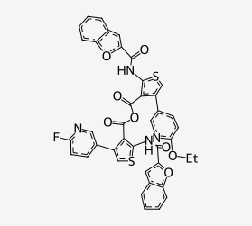 CCOc1ccc(-c2csc(NC(=O)c3cc4ccccc4o3)c2C(=O)OC(=O)c2c(-c3ccc(F)nc3)csc2NC(=O)c2cc3ccccc3o2)cn1